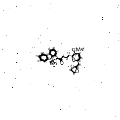 CO[C@H]1C=C[C@@H](CC2OCCO2)O[C@@H]1CCCC(=O)CO[Si](c1ccccc1)(c1ccccc1)C(C)(C)C